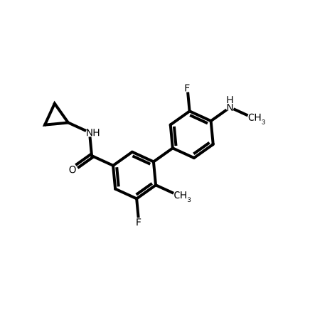 CNc1ccc(-c2cc(C(=O)NC3CC3)cc(F)c2C)cc1F